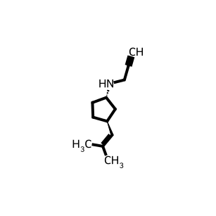 C#CCN[C@H]1CC[C@H](C=C(C)C)C1